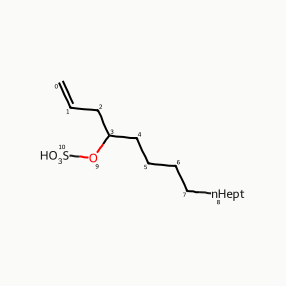 C=CCC(CCCCCCCCCCC)OS(=O)(=O)O